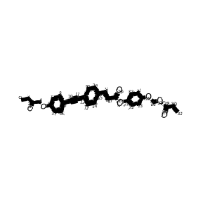 C=CC(=O)COc1ccc(C#Cc2ccc(/C=C/C(=O)Oc3ccc(OCOC(=O)C=C)cc3)cc2)cc1